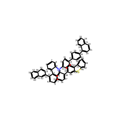 c1ccc(-c2ccccc2N(c2ccc(-c3ccc(-c4cccc5ccccc45)cc3)cc2)c2ccccc2-c2ccc3c(c2)sc2ccccc23)c(-c2ccc3ccccc3c2)c1